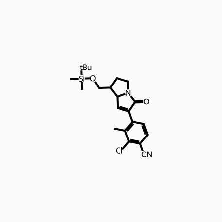 Cc1c(C2=CC3C(CO[Si](C)(C)C(C)(C)C)CCN3C2=O)ccc(C#N)c1Cl